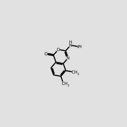 Cc1ccc2c(=O)oc(NC(C)C)nc2c1C